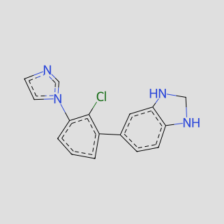 Clc1c(-c2ccc3c(c2)NCN3)cccc1-n1ccnc1